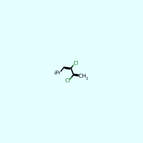 C=C(Cl)/C(Cl)=C\C(C)C